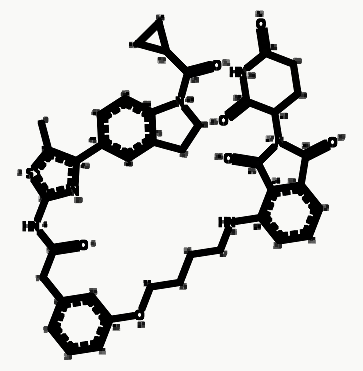 Cc1sc(NC(=O)Cc2cccc(OCCCCNc3cccc4c3C(=O)N(C3CCC(=O)NC3=O)C4=O)c2)nc1-c1ccc2c(c1)CCN2C(=O)C1CC1